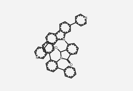 O=C1c2cccc(-n3c4cc(-c5ccncc5)ccc4c4ccc(-c5ccncc5)cc43)c2C(O)N1c1c(-c2ccccc2)cccc1-c1ccccc1